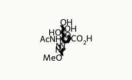 COCc1cn([C@H]2C=C(C(=O)O)O[C@@H]([C@H](O)[C@H](O)CO)[C@@H]2NC(C)=O)nn1